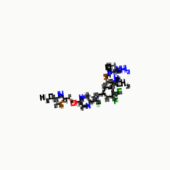 Cc1csc(COc2cnc(/C(F)=C/c3cc(F)c(F)c([C@]4(C)CSN(C)C(N)=N4)c3)cn2)n1